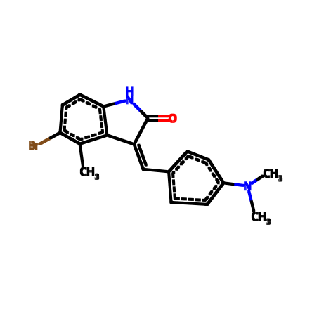 Cc1c(Br)ccc2c1C(=Cc1ccc(N(C)C)cc1)C(=O)N2